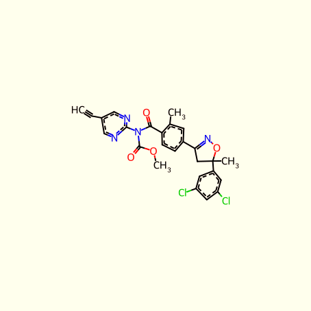 C#Cc1cnc(N(C(=O)OC)C(=O)c2ccc(C3=NOC(C)(c4cc(Cl)cc(Cl)c4)C3)cc2C)nc1